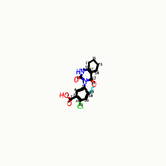 O=C(O)c1cc(-n2c(=O)[nH]c3c(c2=O)CCCC3)c(F)cc1Cl